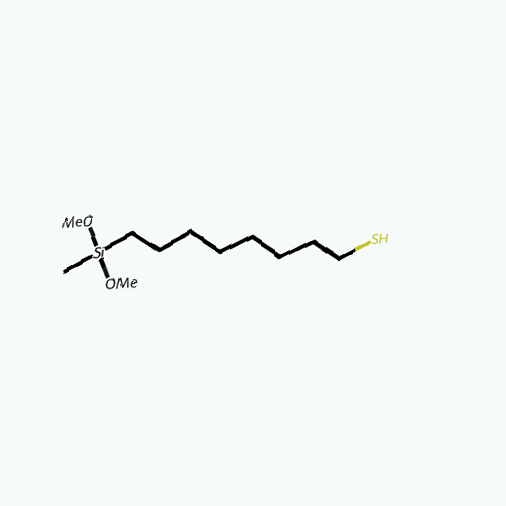 CO[Si](C)(CCCCCCCCS)OC